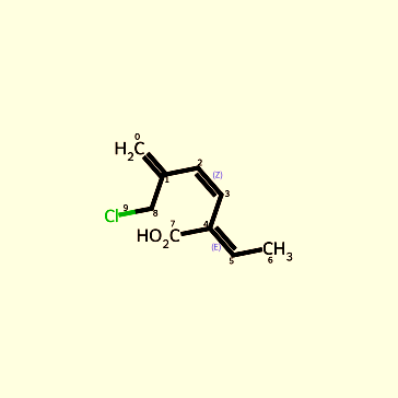 C=C(/C=C\C(=C/C)C(=O)O)CCl